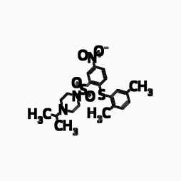 Cc1ccc(C)c(Sc2ccc([N+](=O)[O-])cc2S(=O)(=O)N2CCN(C(C)C)CC2)c1